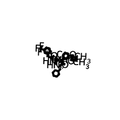 Cc1ccc(S(=O)(=O)N(C)C)cc1NC(=O)[C@@H](CC1CCCCC1)NC(=N)NC(=O)Cc1cccc(C(F)(F)F)c1